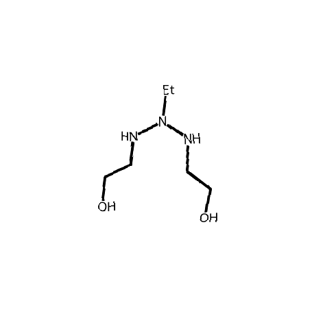 CCN(NCCO)NCCO